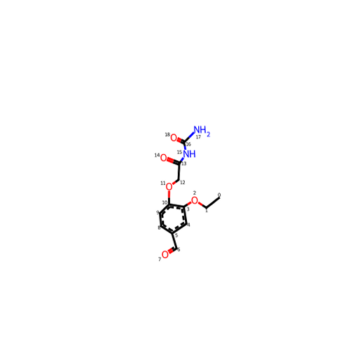 CCOc1cc(C=O)ccc1OCC(=O)NC(N)=O